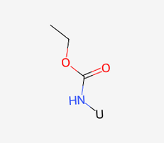 CCOC(=O)[NH][U]